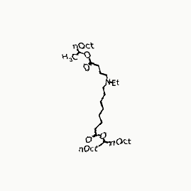 CCCCCCCCC(C)OC(=O)CCCN(CC)CCCCCCCC(=O)OC(CCCCCCCC)CCCCCCCC